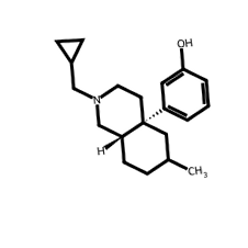 CC1CC[C@@H]2CN(CC3CC3)CC[C@@]2(c2cccc(O)c2)C1